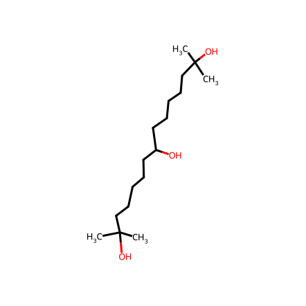 CC(C)(O)CCCCCC(O)CCCCCC(C)(C)O